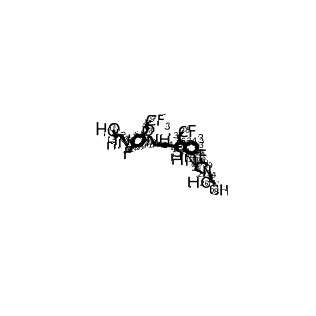 OCCNc1cc(OCC(F)(F)F)c(NCC#Cc2sc3c(NC4CCN(CC(O)CO)CC4F)cccc3c2CC(F)(F)F)cc1F